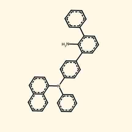 Nc1c(-c2ccccc2)cccc1-c1ccc(N(c2ccccc2)c2cccc3ccccc23)cc1